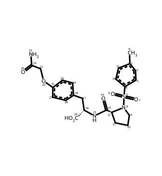 Cc1ccc(S(=O)(=O)N2CCC[C@H]2C(=O)N[C@@H](Cc2ccc(OCC(N)=O)cc2)C(=O)O)cc1